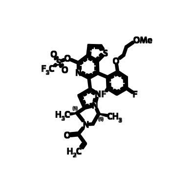 C=CC(=O)N1C[C@H](C)n2nc(-c3nc(OS(=O)(=O)C(F)(F)F)c4ccsc4c3-c3c(F)cc(F)cc3OCCOC)cc2[C@@H]1C